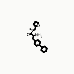 CN(Cc1ccco1)C(=O)C(N)Cc1ccc(-c2ccccc2)cc1